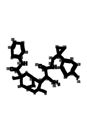 CC1CC2CC(CC(C)(C(=O)Nc3ccncc3)C2)C1C(N)C(=O)NCC1(c2ccc(F)cc2)CC1